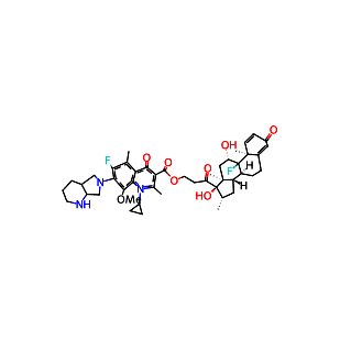 COc1c(N2CC3CCCNC3C2)c(F)c(C)c2c(=O)c(C(=O)OCCC(=O)[C@@]3(O)[C@@H](C)C[C@H]4[C@@H]5CCC6=CC(=O)C=C[C@]6(C)[C@@]5(F)[C@@H](O)C[C@@]43C)c(C)n(C3CC3)c12